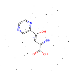 N=C(/C=C(\O)c1cnccn1)C(=O)O